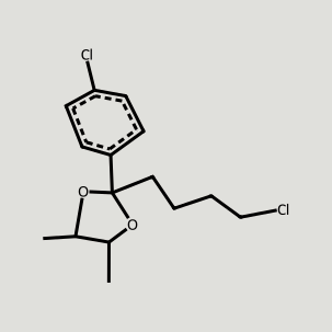 CC1OC(CCCCCl)(c2ccc(Cl)cc2)OC1C